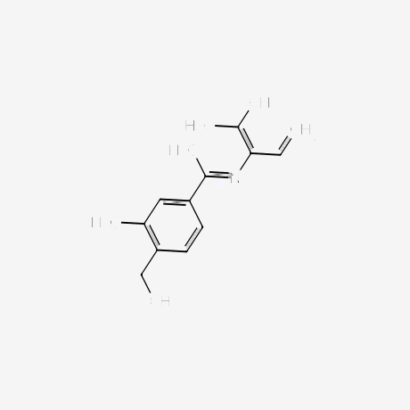 C=CC(/N=C(\C)c1ccc(CC)c(C)c1)=C(C)C